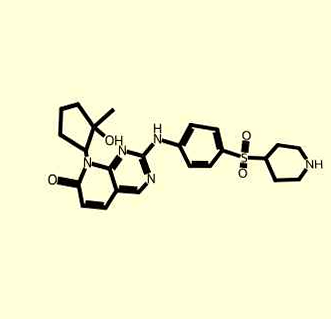 CC1(O)CCCC1n1c(=O)ccc2cnc(Nc3ccc(S(=O)(=O)C4CCNCC4)cc3)nc21